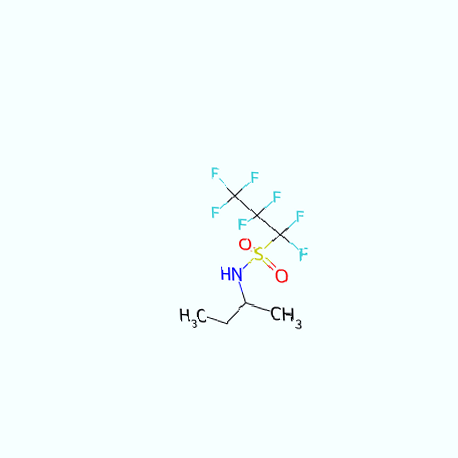 CCC(C)NS(=O)(=O)C(F)(F)C(F)(F)C(F)(F)F